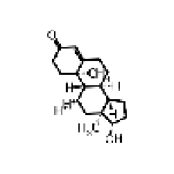 C[C@]12CC[C@H]3[C@@H](CCC4=CC(=O)CC[C@@]43C)[C@@H]1CC[C@@H]2O.[H+].[H+]